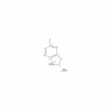 CC[C@@H](C)C1Cc2cc(C)ccc2N1